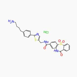 Cl.NCCCCc1ccc(-c2ncc(CNC(=O)c3ccc4c(c3)NC(=O)c3ccccc3S4(=O)=O)s2)cc1